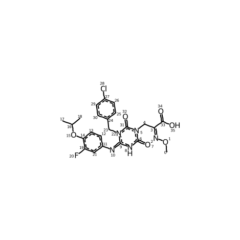 CON=C(Cn1c(=O)[nH]c(=Nc2ccc(OC(C)C)c(F)c2)n(Cc2ccc(Cl)cc2)c1=O)C(=O)O